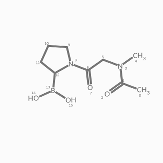 CC(=O)N(C)CC(=O)N1CCCC1B(O)O